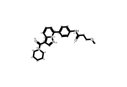 COCCC(=O)Nc1ccc(-c2cccc3c(C(=O)N4CCCCC4)cnn23)cc1